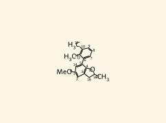 COc1cc2c(c(-c3cccc(C)c3C)c1)OC(C)C2